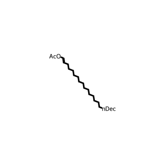 CCCCCCCCCCCCCCCCCCCCCCCC/C=C/OC(C)=O